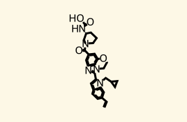 C=Cc1ccc2cc(-c3nc4cc(C(=O)N5CCC[C@@H](NC(=O)O)C5)cc5c4n3CCO5)n(CC3CC3)c2c1